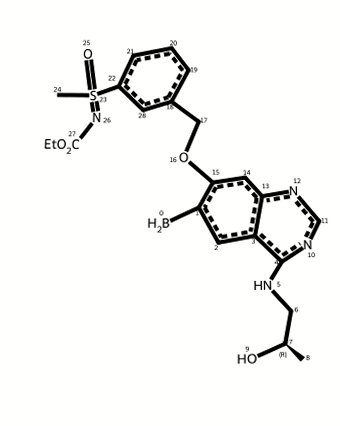 Bc1cc2c(NC[C@@H](C)O)ncnc2cc1OCc1cccc(S(C)(=O)=NC(=O)OCC)c1